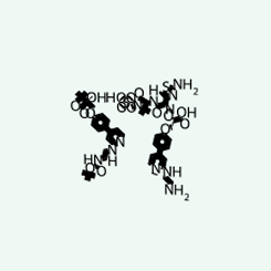 CC(C)(C)OC(=O)NCCNc1cc(-c2ccc(OC[C@@](O)(C(=O)[O-])C(C)(C)C)cc2)ccn1.C[n+]1ccc(-c2ccc(OC[C@H](O/N=C(\C(=O)N[C@@H]3C(=O)N(OS(=O)(=O)O)C3(C)C)c3csc(N)n3)C(=O)O)cc2)cc1NCCN